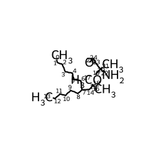 CCCCCCCC(CCCCCC)CC(C)(C)OCC(C)(N)C1CO1